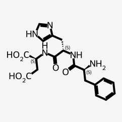 N[C@@H](Cc1ccccc1)C(=O)N[C@@H](Cc1c[nH]cn1)C(=O)N[C@@H](CC(=O)O)C(=O)O